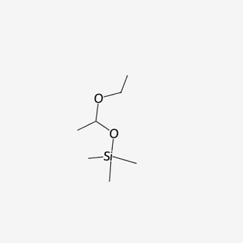 CCOC(C)O[Si](C)(C)C